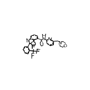 O=C(Nc1cccc(CN2CCOCC2)n1)c1cccc2nc(-c3ccccc3C(F)(F)F)oc12